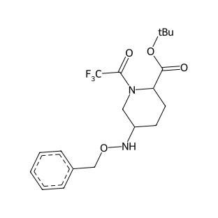 CC(C)(C)OC(=O)C1CCC(NOCc2ccccc2)CN1C(=O)C(F)(F)F